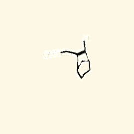 CCC1C2C=CC(C2)C1CC=O